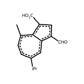 Cc1ccc(C(C)C)cc2c(C=O)cc(C(=O)O)c1-2